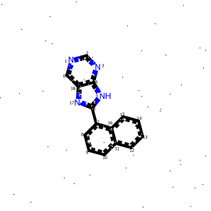 [c]1ncnc2[nH]c(-c3cccc4ccccc34)nc12